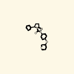 O=c1n(-c2ccc(Oc3ccccc3)cc2)nc2n1C(c1ccccc1)CC2